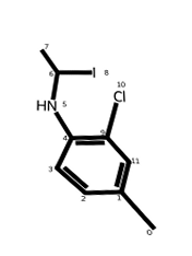 Cc1ccc(NC(C)I)c(Cl)c1